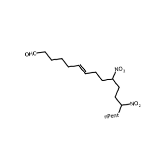 CCCCCC(CCC(CCC=CCCCCC=O)[N+](=O)[O-])[N+](=O)[O-]